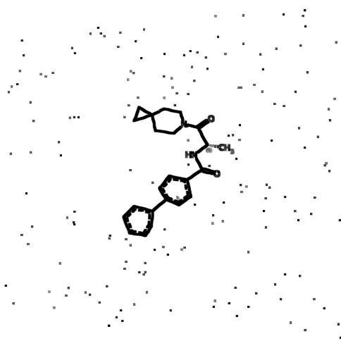 C[C@H](NC(=O)c1ccc(-c2ccccc2)cc1)C(=O)N1CCC2(CC1)CC2